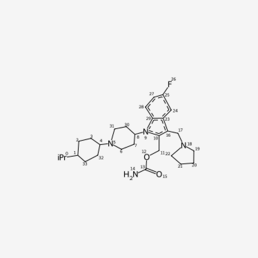 CC(C)C1CCC(N2CCC(n3c(COC(N)=O)c(CN4CCCC4)c4cc(F)ccc43)CC2)CC1